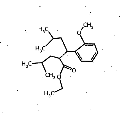 CCOC(=O)C(CC(C)C)C(CC(C)C)c1ccccc1OC